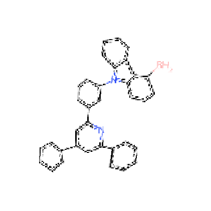 Bc1cccc2c1c1ccccc1n2-c1cccc(-c2cc(-c3ccccc3)cc(-c3ccccc3)n2)c1